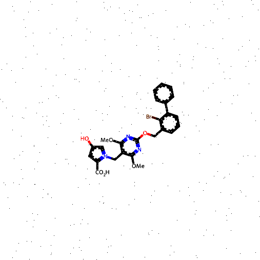 COc1nc(OCc2cccc(-c3ccccc3)c2Br)nc(OC)c1Cn1cc(O)cc1C(=O)O